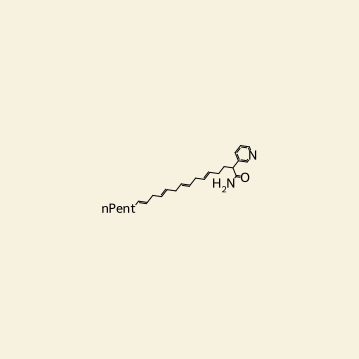 CCCCCC=CCC=CCC=CCC=CCCC(C(N)=O)c1cccnc1